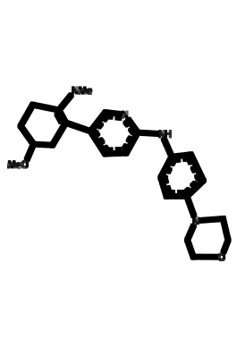 CNC1=C(c2ccc(Nc3ccc(N4CCOCC4)cc3)nc2)CC(OC)CC1